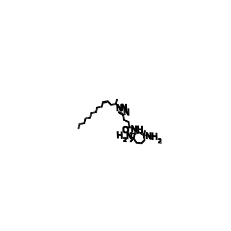 CCCCCCCCC/C=C\CC(C)n1cc(CCC(=O)NC2(C)CC(C)(N)CCCC2(C)N)nn1